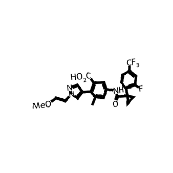 COCCn1cc(-c2c(C)cc(NC(=O)C3(c4ccc(C(F)(F)F)cc4F)CC3)cc2C(=O)O)cn1